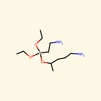 CCO[Si](CCN)(OCC)OC(C)CCCN